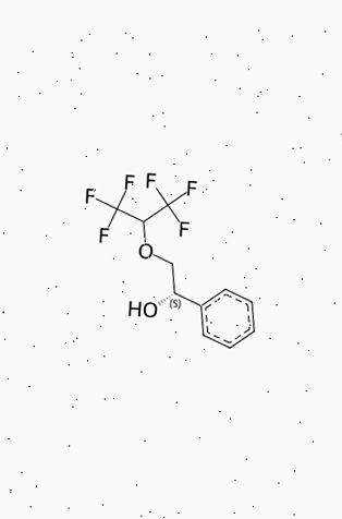 O[C@H](COC(C(F)(F)F)C(F)(F)F)c1ccccc1